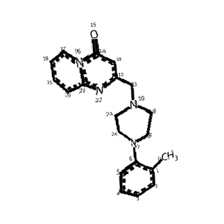 Cc1ccccc1N1CCN(Cc2cc(=O)n3ccccc3n2)CC1